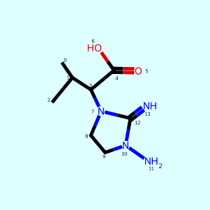 CC(C)C(C(=O)O)N1CCN(N)C1=N